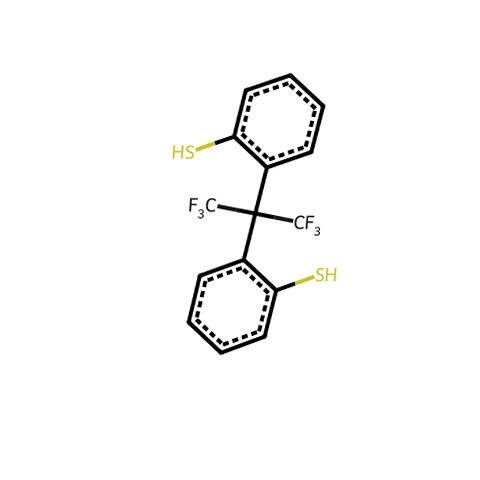 FC(F)(F)C(c1ccccc1S)(c1ccccc1S)C(F)(F)F